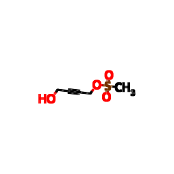 CS(=O)(=O)OCC#CCO